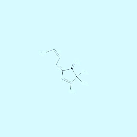 C=C1/C(=C\C=C/C)N=C(C)C1(C)C